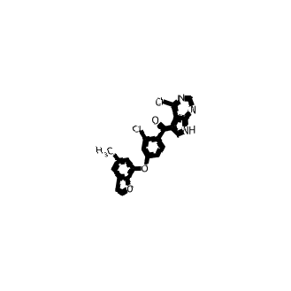 Cc1cc(Oc2ccc(C(=O)c3c[nH]c4ncnc(Cl)c34)c(Cl)c2)c2occc2c1